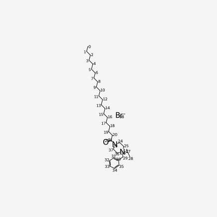 CCCCCCCCCCCCCCCCCCCCCC(=O)N1CC[N+](CC)(Cc2ccccc2)CC1.[Br-]